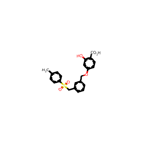 Cc1ccc(S(=O)(=O)Cc2cccc(COc3ccc(C(=O)O)c(O)c3)c2)cc1